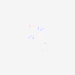 NC(=O)C(CO)NC1CCc2ccccc2C1